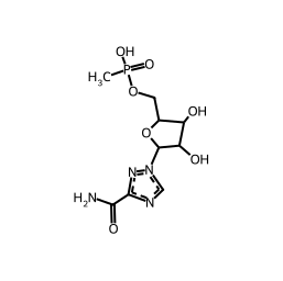 CP(=O)(O)OCC1OC(n2cnc(C(N)=O)n2)C(O)C1O